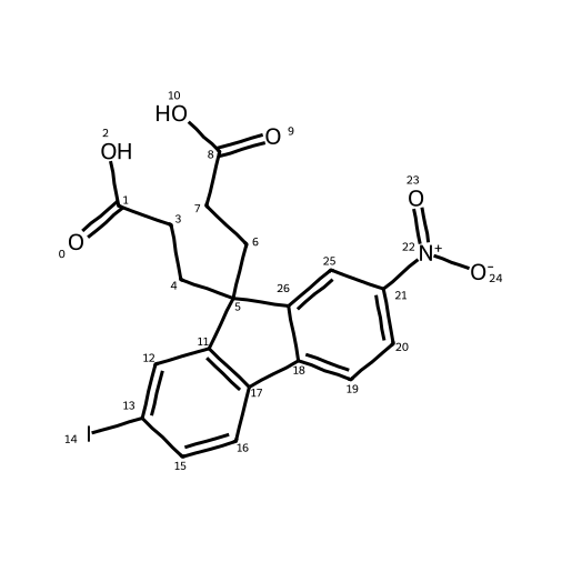 O=C(O)CCC1(CCC(=O)O)c2cc(I)ccc2-c2ccc([N+](=O)[O-])cc21